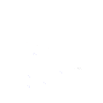 COc1cccc(-n2cnnc2C(=O)NS(=O)(=O)C(C)c2ccccc2)n1